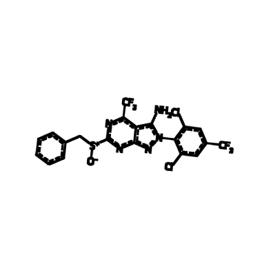 Nc1c2c(C(F)(F)F)nc([S+]([O-])Cc3ccccc3)nc2nn1-c1c(Cl)cc(C(F)(F)F)cc1Cl